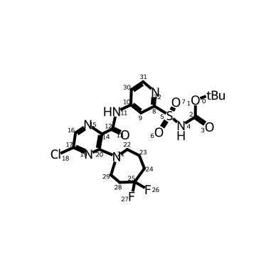 CC(C)(C)OC(=O)NS(=O)(=O)c1cc(NC(=O)c2ncc(Cl)nc2N2CCCC(F)(F)CC2)ccn1